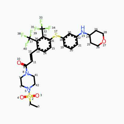 CCS(=O)(=O)N1CCN(C(=O)/C=C/c2ccc(Sc3cccc(NC4CCOCC4)c3)c(C(F)(F)F)c2C(F)(F)F)CC1